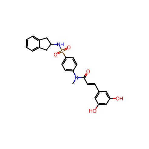 CN(C(=O)/C=C/c1cc(O)cc(O)c1)c1ccc(S(=O)(=O)NC2Cc3ccccc3C2)cc1